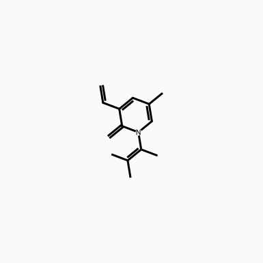 C=CC1=CC(C)=CN(C(C)=C(C)C)C1=C